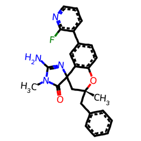 CN1C(=O)C2(C[C@@](C)(Cc3ccccc3)Oc3ccc(-c4cccnc4F)cc32)N=C1N